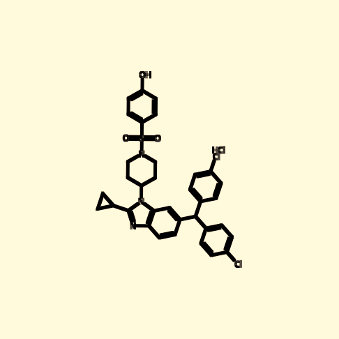 Cl.O=S(=O)(c1ccc(O)cc1)N1CCC(n2c(C3CC3)nc3ccc(C(c4ccc(Cl)cc4)c4ccc(Cl)cc4)cc32)CC1